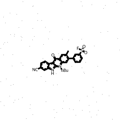 CCCCn1c2cc(-c3cccc(S(=O)(=O)F)c3)c(C)cc2c(=O)c2c3ccc(C#N)cc3[nH]c21